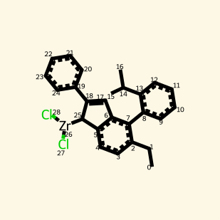 CCc1ccc2c(c1-c1ccccc1C(C)C)C=C(c1ccccc1)[CH]2[Zr]([Cl])[Cl]